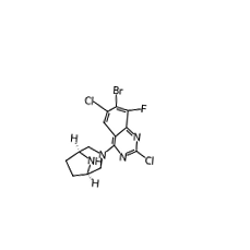 Fc1c(Br)c(Cl)cc2c(N3C[C@H]4CC[C@@H](C3)N4)nc(Cl)nc12